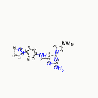 CNC1CN(c2cc(CNc3ccc(-n4cccn4)cc3)nc(N)n2)C1